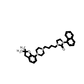 CC1(C)Cc2cccc(N3CCN(CCCCN4CCN(c5cccc6ccccc56)C4=O)CC3)c2O1